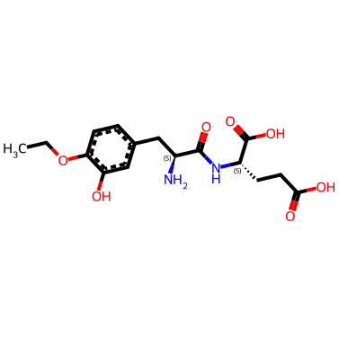 CCOc1ccc(C[C@H](N)C(=O)N[C@@H](CCC(=O)O)C(=O)O)cc1O